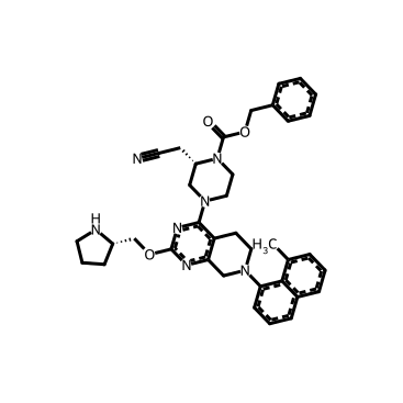 Cc1cccc2cccc(N3CCc4c(nc(OC[C@@H]5CCCN5)nc4N4CCN(C(=O)OCc5ccccc5)[C@@H](CC#N)C4)C3)c12